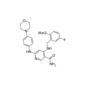 COc1ccc(F)cc1CNc1cc(Nc2ccc(N3CCOCC3)cc2)ncc1C(N)=O